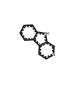 [c]1cc2c(cn1)[nH]c1ccccc12